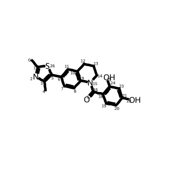 Cc1nc(C)c(-c2ccc3c(c2)CCCN3C(=O)c2ccc(O)cc2O)s1